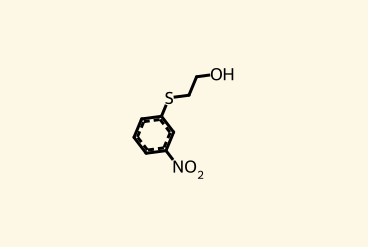 O=[N+]([O-])c1cccc(SCCO)c1